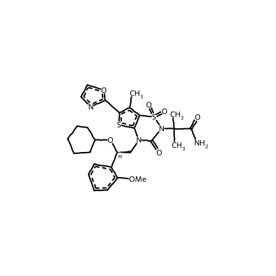 COc1ccccc1[C@H](CN1C(=O)N(C(C)(C)C(N)=O)S(=O)(=O)c2c1sc(-c1ncco1)c2C)OC1CCCCC1